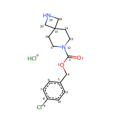 Cl.O=C(OCc1ccc(Cl)cc1)N1CCC2(CC1)CNC2